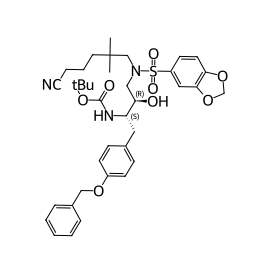 CC(C)(CCCC#N)CN(C[C@@H](O)[C@H](Cc1ccc(OCc2ccccc2)cc1)NC(=O)OC(C)(C)C)S(=O)(=O)c1ccc2c(c1)OCO2